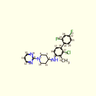 Cc1c(NC2CCN(c3ncccn3)CC2)ccc(-c2ccc(F)cc2F)c1Cl